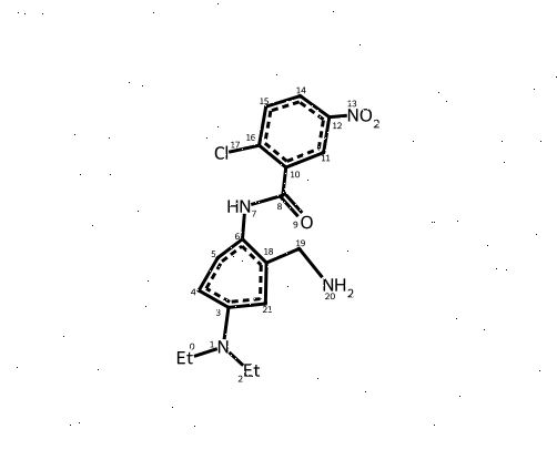 CCN(CC)c1ccc(NC(=O)c2cc([N+](=O)[O-])ccc2Cl)c(CN)c1